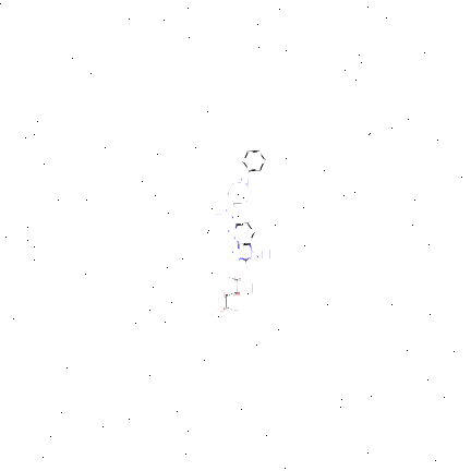 O[C@@H]1CO[C@H]2[C@@H]1OC[C@H]2Oc1nc2nc(NC3CCN(c4ccccc4)CC3)c(Cl)cc2[nH]1